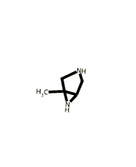 CC12CNCC1N2